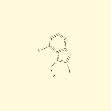 Fc1oc2cccc(Cl)c2c1CBr